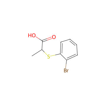 CC(Sc1ccccc1Br)C(=O)O